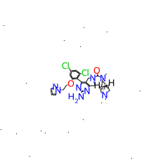 CN1C[C@@H]2C(N(C)C(=O)N3Cc4nc(N)nc(-c5c(Cl)cc(Cl)cc5OCCn5cccn5)c4C3)[C@@H]2C1